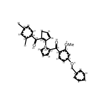 COc1cc(OCc2ccccc2)ccc1C(=O)c1cccn1C1=C(C(=O)c2ccc(C)cc2C)CC=C1